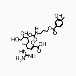 Cc1ccc(C(=O)OCCCNC(=O)O[C@@H]([C@@H]2OC(C(=O)O)=C[C@H](NC(=N)N)[C@H]2C)[C@H](O)CO)cc1O